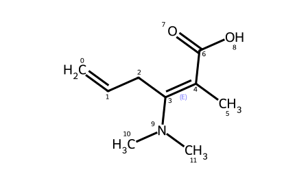 C=CC/C(=C(/C)C(=O)O)N(C)C